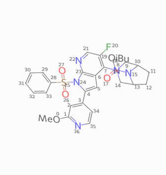 COc1cc(-c2cc3c(N4CC5CCC(C4)N5C(=O)OCC(C)C)c(F)cnc3n2S(=O)(=O)c2ccccc2)ccn1